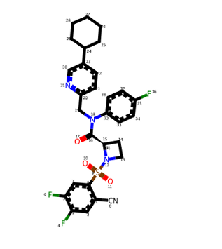 N#Cc1cc(F)c(F)cc1S(=O)(=O)N1CC[C@@H]1C(=O)N(Cc1ccc(C2CCCCC2)cn1)c1ccc(F)cc1